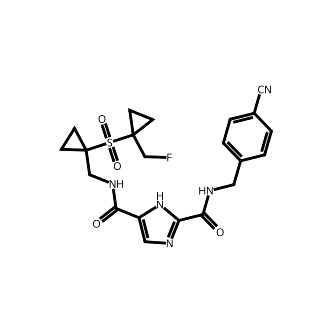 N#Cc1ccc(CNC(=O)c2ncc(C(=O)NCC3(S(=O)(=O)C4(CF)CC4)CC3)[nH]2)cc1